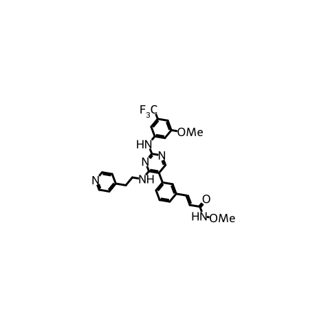 CONC(=O)/C=C/c1cccc(-c2cnc(Nc3cc(OC)cc(C(F)(F)F)c3)nc2NCCc2ccncc2)c1